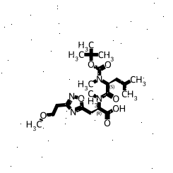 COCCc1noc(C[C@H](C(=O)O)N(C)C(=O)[C@H](CC(C)C)N(C)C(=O)OC(C)(C)C)n1